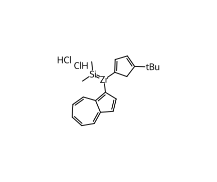 C[Si](C)=[Zr]([C]1=CC=C(C(C)(C)C)C1)[c]1ccc2cccccc1-2.Cl.Cl